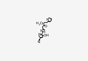 CN(CCc1ccccn1)C(=O)Cc1csc(-c2ncc(C#N)cc2O)n1